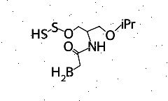 BCC(=O)NC(COSS)COC(C)C